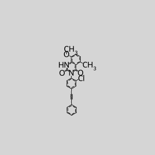 COc1ccc(C)c2c(=O)n(-c3ccc(C#Cc4ccccc4)cc3Cl)c(=O)[nH]c12